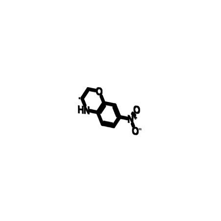 O=[N+]([O-])c1ccc2c(c1)OC[CH]N2